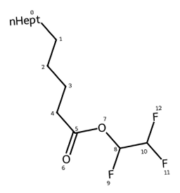 CCCCCCCCCCCC(=O)OC(F)C(F)F